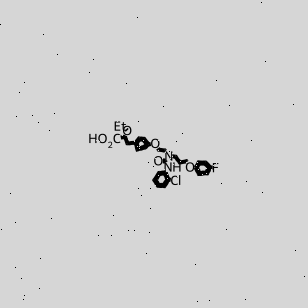 CCOC(Cc1ccc(OCCN(CCCOc2ccc(F)cc2)C(=O)Nc2ccccc2Cl)cc1)C(=O)O